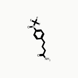 NC(=O)CCCc1ccc([S+]([O-])C(F)(F)F)cc1